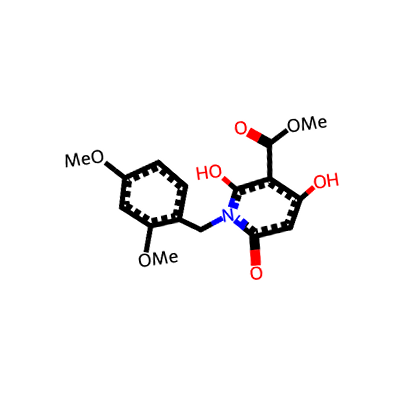 COC(=O)c1c(O)cc(=O)n(Cc2ccc(OC)cc2OC)c1O